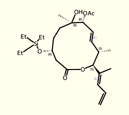 C=C/C=C(\C)[C@H]1OC(=O)C[C@H](O[Si](CC)(CC)CC)CC[C@@](C)(O)[C@H](OC(C)=O)/C=C/[C@@H]1C